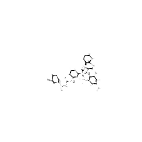 COc1cc(Nc2nc3ccccc3nc2NS(=O)(=O)c2cccc(NC(=O)CN(C)c3cccc(F)c3)c2)cc(OC)c1